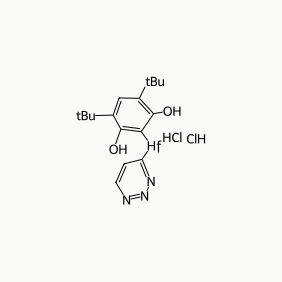 CC(C)(C)c1cc(C(C)(C)C)c(O)[c]([Hf][c]2ccnnn2)c1O.Cl.Cl